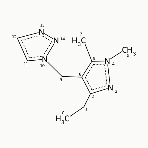 CCc1nn(C)c(C)c1Cn1ccnn1